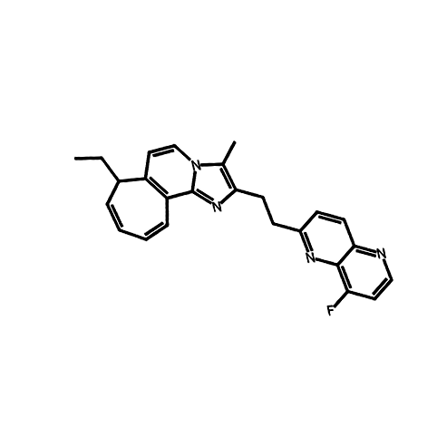 CCC1C=CC=Cc2c1ccn1c(C)c(CCc3ccc4nccc(F)c4n3)nc21